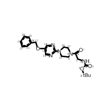 CC(C)(C)OC(=O)NCC(=O)N1CCN(c2ncc(OCc3ccccc3)cn2)CC1